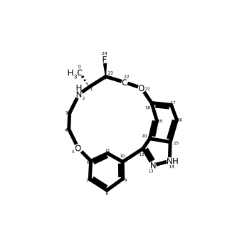 C[C@H]1NCCOc2cccc(c2)-c2n[nH]c3ccc(cc23)OC[C@@H]1F